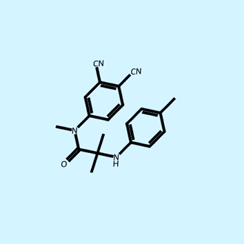 Cc1ccc(NC(C)(C)C(=O)N(C)c2ccc(C#N)c(C#N)c2)cc1